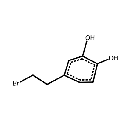 Oc1ccc(CCBr)cc1O